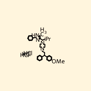 COc1ccc(C(CCN2CCN(C(c3nc(-c4ccccc4)[nH]c3C)C(C)C)CC2)c2ccccc2)cc1.Cl.Cl.Cl